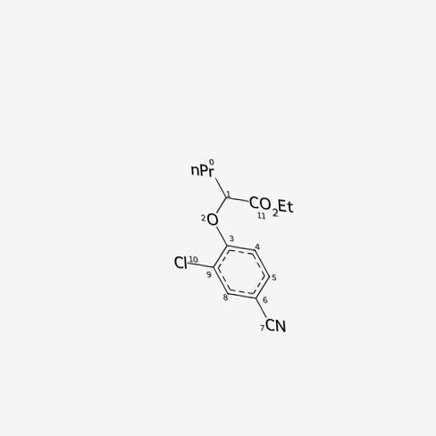 CCCC(Oc1ccc(C#N)cc1Cl)C(=O)OCC